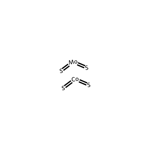 [S]=[Co]=[S].[S]=[Mo]=[S]